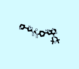 CC1(C)CN(c2ncnc3[nH]c(-c4ccc(NC(=O)Nc5cc(-c6cccnc6)no5)cc4)cc23)CC(C)(C)O1